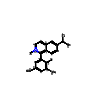 CCC(CC)c1ccc2c(-c3cc(C(C)(C)C)cc(C(C)(C)C)c3C)[n+](C)ccc2c1